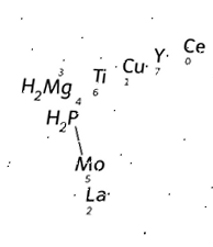 [Ce].[Cu].[La].[MgH2].[PH2][Mo].[Ti].[Y]